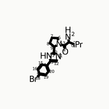 CC(C)C(N)C(=O)N1CCCC1c1ncc(-c2ccc(Br)cc2)[nH]1